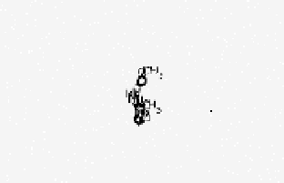 CO[C@H]1CC[C@H](CNc2ncc3c(n2)N(C)C(=O)N(c2ccccc2Cl)C3)CC1